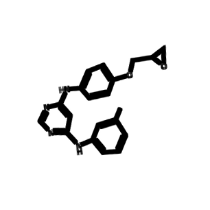 Cc1cccc(Nc2cc(Nc3ccc(OCC4CO4)cc3)ncn2)c1